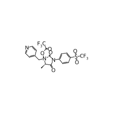 C[C@@H]1C(=O)N(c2ccc(S(=O)(=O)C(F)(F)F)cc2)C(=O)[N+]1(Cc1ccncc1)OC(=O)C(F)(F)F